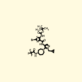 CC(C)(C)OC(=O)Nc1sc(Br)nc1C(=O)Nc1cnn(CC2CC2)c1N1CCC[C@@H](NC(=O)C(F)(F)F)CC1